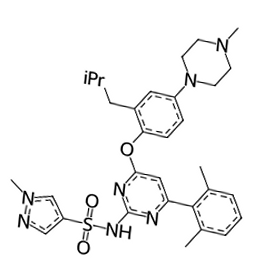 Cc1cccc(C)c1-c1cc(Oc2ccc(N3CCN(C)CC3)cc2CC(C)C)nc(NS(=O)(=O)c2cnn(C)c2)n1